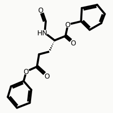 O=CN[C@@H](CCC(=O)Oc1ccccc1)C(=O)Oc1ccccc1